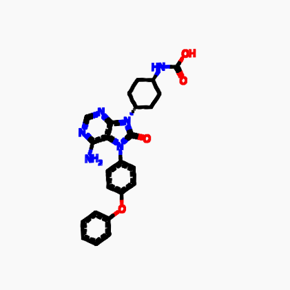 Nc1ncnc2c1n(-c1ccc(Oc3ccccc3)cc1)c(=O)n2[C@H]1CC[C@H](NC(=O)O)CC1